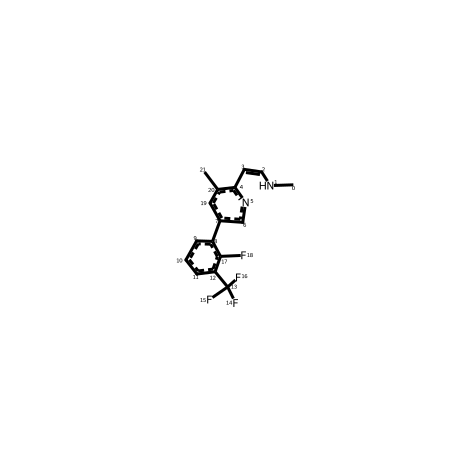 CN/C=C\c1ncc(-c2cccc(C(F)(F)F)c2F)cc1C